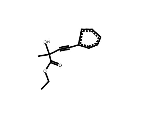 CCOC(=O)C(C)(O)C#Cc1ccccc1